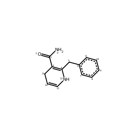 NC(=O)C1=C(Cc2ccccc2)NC=CC1